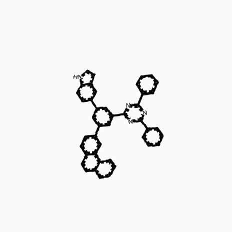 c1ccc(-c2nc(-c3ccccc3)nc(-c3cc(-c4ccc5[nH]ccc5c4)cc(-c4ccc5ccc6ccccc6c5c4)c3)n2)cc1